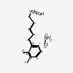 CCCCCCCCCCCCCCc1cccc(C)c1C.CCN